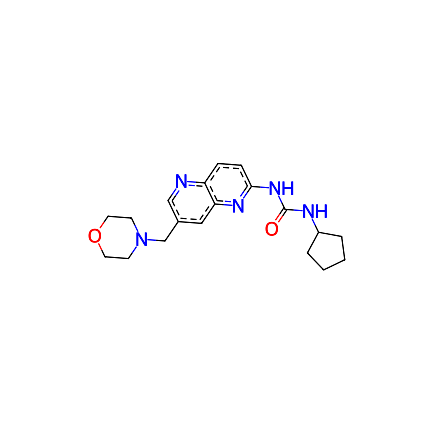 O=C(Nc1ccc2ncc(CN3CCOCC3)cc2n1)NC1CCCC1